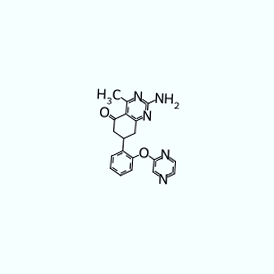 Cc1nc(N)nc2c1C(=O)CC(c1ccccc1Oc1cnccn1)C2